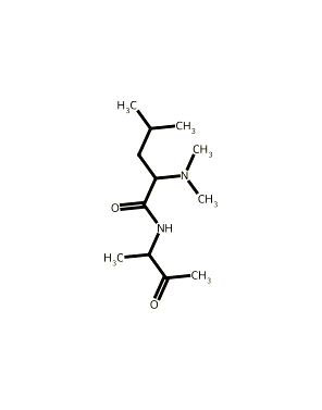 CC(=O)C(C)NC(=O)C(CC(C)C)N(C)C